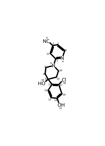 N#Cc1ccnc(N2CCC(O)(c3ccc(O)cc3Cl)CC2)c1